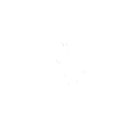 NC(=O)CNCc1ccccc1.O=C(O)C(F)(F)F